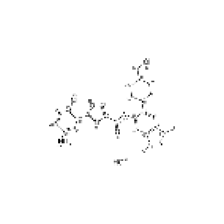 Cc1nn(C)c2cc(N3CCC(CO)CC3)c(NC(=O)c3coc(-c4cc(N)ncc4Cl)n3)cc12.Cl